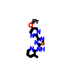 Cc1cccnc1Nc1nc(-c2ncc(OC(C)C)cn2)ns1